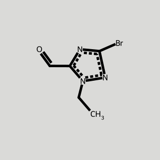 CCn1nc(Br)nc1C=O